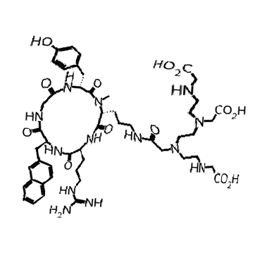 CN1C(=O)[C@@H](Cc2ccc(O)cc2)NC(=O)CNC(=O)[C@H](Cc2ccc3ccccc3c2)NC(=O)[C@H](CCCNC(=N)N)NC(=O)[C@H]1CCCNC(=O)CN(CCNCC(=O)O)CCN(CCNCC(=O)O)CC(=O)O